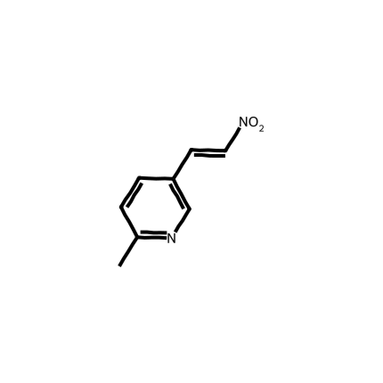 Cc1ccc(/C=C/[N+](=O)[O-])cn1